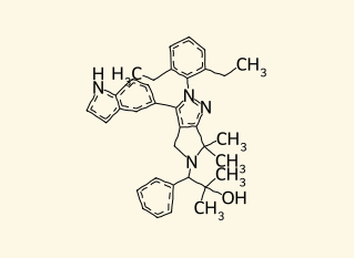 CCc1cccc(CC)c1-n1nc2c(c1-c1ccc3[nH]ccc3c1)CN(C(c1ccccc1)C(C)(C)O)C2(C)C